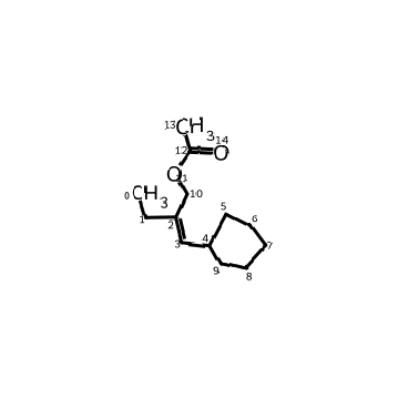 CCC(=CC1CCCCC1)COC(C)=O